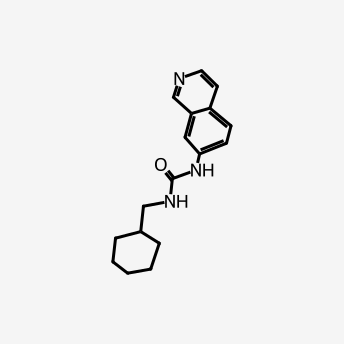 O=C(NCC1CCCCC1)Nc1ccc2ccncc2c1